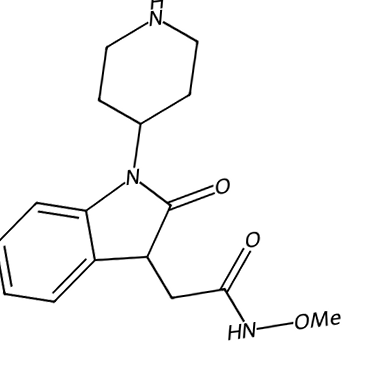 CONC(=O)CC1C(=O)N(C2CCNCC2)c2ccccc21